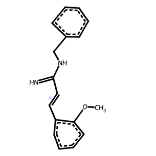 COc1ccccc1/C=C/C(=N)NCc1ccccc1